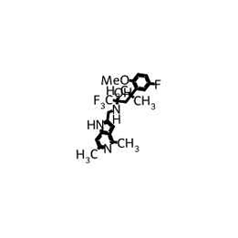 COc1ccc(F)cc1C(C)(C)CC(O)(NCc1cc2c(C)nc(C)cc2[nH]1)C(F)(F)F